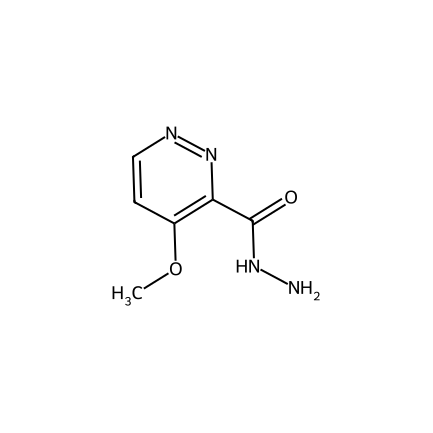 COc1ccnnc1C(=O)NN